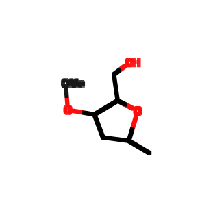 COOC1CC(C)OC1CO